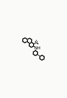 CN(C)c1c(Nc2cccc(-c3ccccc3)c2)ccc2c1ccc1ccccc12